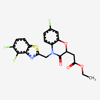 CCOC(=O)CC1Oc2cc(F)ccc2N(Cc2nc3c(F)c(F)ccc3s2)C1=O